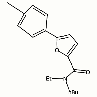 CCCCN(CC)C(=O)c1ccc(-c2ccc(C)cc2)o1